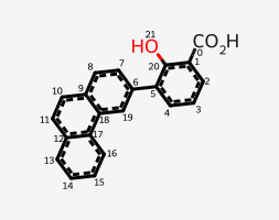 O=C(O)c1cccc(-c2ccc3ccc4ccccc4c3c2)c1O